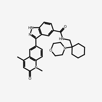 Cc1cc(=O)n(C)c2ccc(-c3n[nH]c4ccc(C(=O)NCC5(N6CCOCC6)CCCCC5)cc34)cc12